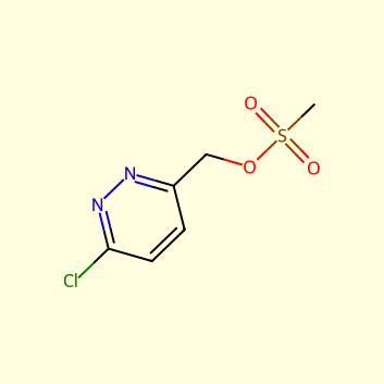 CS(=O)(=O)OCc1ccc(Cl)nn1